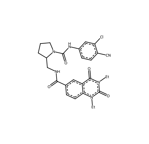 CCn1c(=O)c2cc(C(=O)NCC3CCCN3C(=O)Nc3ccc(C#N)c(Cl)c3)ccc2n(CC)c1=O